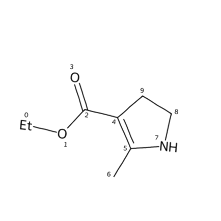 CCOC(=O)C1=C(C)NCC1